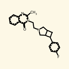 Cc1nc2ccccc2c(=O)n1CCN1CC2CC(c3ccc(F)cc3)C2C1